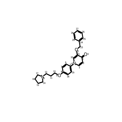 O=c1ccn(-c2ccc(OCCCN3CCCC3)cc2)cc1OCc1ccccc1